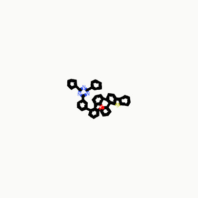 c1ccc(-c2nc(-c3ccccc3)nc(-c3cccc(-c4cccc5oc6c(-c7ccc8c(sc9ccccc98)c7-c7ccccc7)cccc6c45)c3)n2)cc1